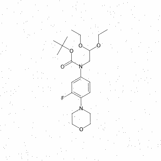 CCOC(CN(C(=O)OC(C)(C)C)c1ccc(N2CCOCC2)c(F)c1)OCC